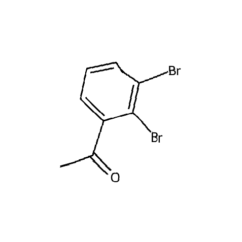 CC(=O)c1cccc(Br)c1Br